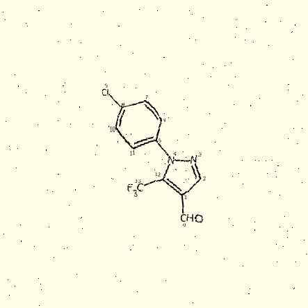 O=Cc1cnn(-c2ccc(Cl)cc2)c1C(F)(F)F